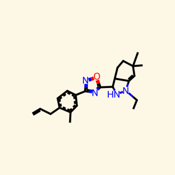 C=CCc1ccc(-c2noc(C3NN(CC)C4=CC(C)(C)CCC43)n2)cc1C